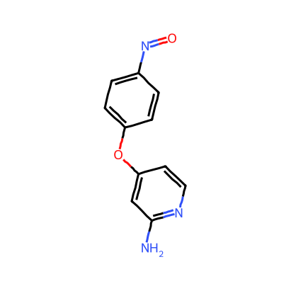 Nc1cc(Oc2ccc(N=O)cc2)ccn1